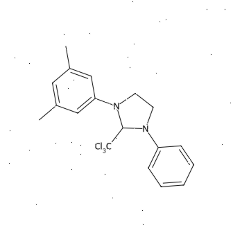 Cc1cc(C)cc(N2CCN(c3ccccc3)C2C(Cl)(Cl)Cl)c1